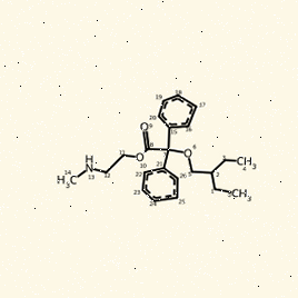 CCC(CC)COC(C(=O)OCCNC)(c1ccccc1)c1ccccc1